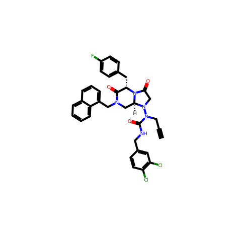 C#CCN(C(=O)NCc1ccc(Cl)c(Cl)c1)N1CC(=O)N2[C@@H](Cc3ccc(F)cc3)C(=O)N(Cc3cccc4ccccc34)C[C@@H]21